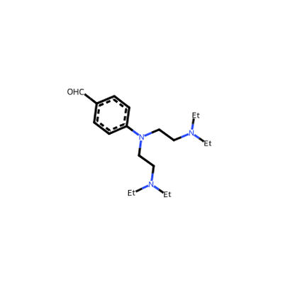 CCN(CC)CCN(CCN(CC)CC)c1ccc(C=O)cc1